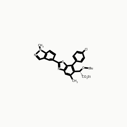 CCOC(=O)[C@@H](OC(C)(C)C)c1c(C)cc2nc(-c3ccc4c(cnn4C)c3)sc2c1-c1ccc(Cl)cc1